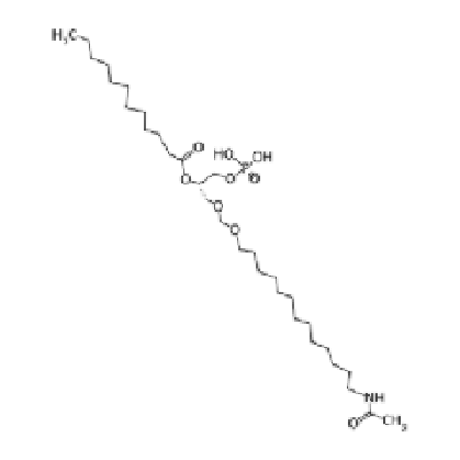 CCCCCCCCCCCC(=O)O[C@@H](COCOCCCCCCCCCCCCCNC(C)=O)COP(=O)(O)O